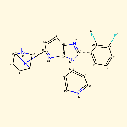 Fc1cccc(-c2nc3ccc(N4CC5CCC4CN5)nc3n2-c2ccncc2)c1F